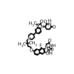 Cn1c(=O)n(C2CCC(=O)NC2=O)c2ccc(C3CCN(CC(C)(C)CCOc4ccc5cc(O)c(N6CC(=O)NS6(=O)=O)c(F)c5c4)CC3)cc21